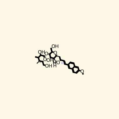 COc1ccc2cc(/C=C/C(O)C[C@@H]3OC(CO)[C@@H](O[C@@H]4OC(CO)[C@@H](C)C(C)C4O)C(O)C3O)ccc2c1